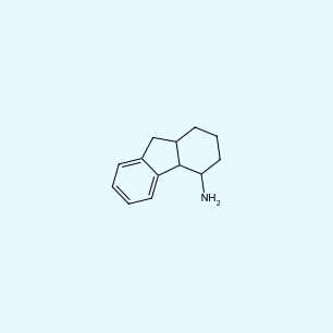 NC1CCCC2Cc3ccccc3C12